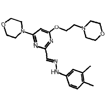 Cc1ccc(N/N=C/c2nc(OCCN3CCOCC3)cc(N3CCOCC3)n2)cc1C